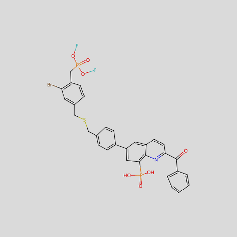 O=C(c1ccccc1)c1ccc2cc(-c3ccc(CSCc4ccc(CP(=O)(OF)OF)c(Br)c4)cc3)cc(P(=O)(O)O)c2n1